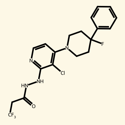 O=C(CC(F)(F)F)NNc1nccc(N2CCC(F)(c3ccccc3)CC2)c1Cl